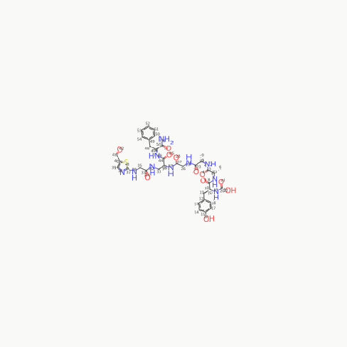 C[C@H](NC(=O)[C@H](C)NC(=O)[C@H](Cc1ccc(O)cc1)NC(=O)O)C(=O)NCC(=O)N[C@@H](CNC(=O)CNc1ncc(C=O)s1)C(=O)N[C@@H](Cc1ccccc1)C(N)=O